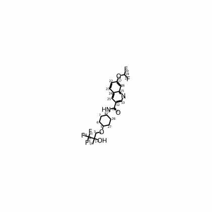 CC(O)(CO[C@H]1CC[C@H](NC(=O)c2cnc3cc(OC(F)F)ccc3c2)CC1)C(F)(F)F